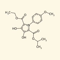 CCOC(=O)c1c(O)c(O)c(C(=O)OC(C)C)n1-c1ccc(OC)cc1